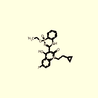 CCOP1(=O)N=C(c2c(O)c3cc(F)ccc3n(CCC3CC3)c2=O)Nc2ccccc21